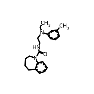 CCN(CCNC(=O)N1CCCCc2ccccc21)c1cccc(C)c1